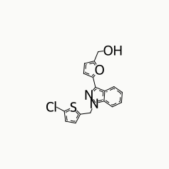 OCc1ccc(-c2nn(Cc3ccc(Cl)s3)c3ccccc23)o1